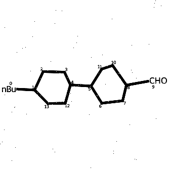 CCCCC1CCC(C2CCC(C=O)CC2)CC1